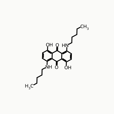 CCCCCNc1ccc(O)c2c1C(=O)c1c(O)ccc(NCCCCC)c1C2=O